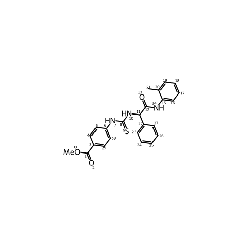 COC(=O)c1ccc(NC(=S)NC(C(=O)Nc2ccccc2C)c2ccccc2)cc1